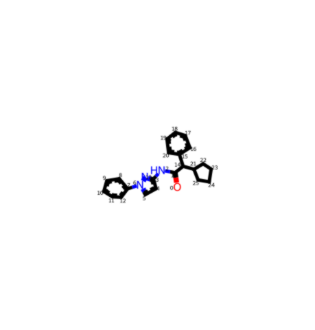 O=C(Nc1ccn(-c2ccccc2)n1)C(c1ccccc1)C1CCCC1